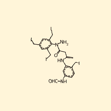 C=C(CC(=O)N(N)c1c(CI)cc(CI)cc1CI)Nc1cc(NC=O)ccc1CI